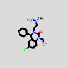 CCN1C(=O)N(CCN(C)C)C(c2ccccc2)c2cc(Cl)ccc21